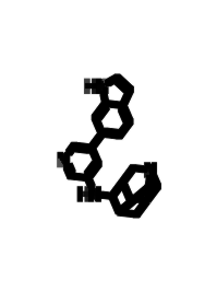 c1cc2ccc(-c3cncc(NC4C5CC6CC4CN(C6)C5)c3)cc2[nH]1